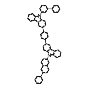 c1ccc(-c2cccc(-n3c4ccccc4c4cc(-c5ccc(-c6ccc7c(c6)c6ccccc6n7-c6ccc7cc(-c8ccccc8)ccc7c6)cc5)ccc43)c2)cc1